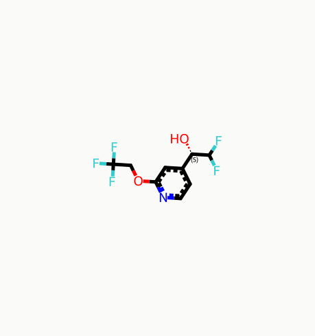 O[C@@H](c1ccnc(OCC(F)(F)F)c1)C(F)F